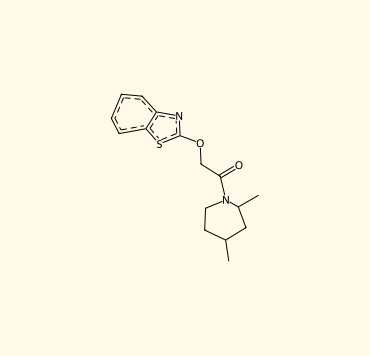 CC1CCN(C(=O)COc2nc3ccccc3s2)C(C)C1